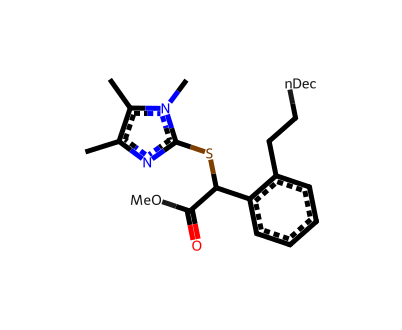 CCCCCCCCCCCCc1ccccc1C(Sc1nc(C)c(C)n1C)C(=O)OC